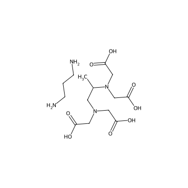 CC(CN(CC(=O)O)CC(=O)O)N(CC(=O)O)CC(=O)O.NCCCN